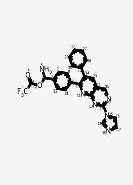 NC(OC(=O)C(F)(F)F)c1ccc(-c2nc3nc(-n4ccnc4)ncc3cc2-c2ccccc2)cc1